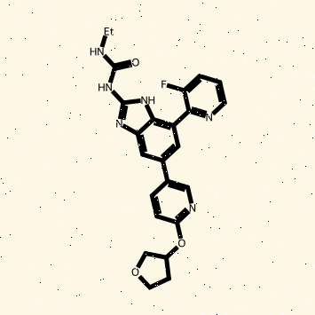 CCNC(=O)Nc1nc2cc(-c3ccc(OC4CCOC4)nc3)cc(-c3ncccc3F)c2[nH]1